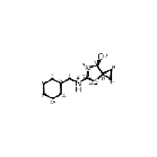 O=C1N=C(NCC2CCCCC2)SC12CC2